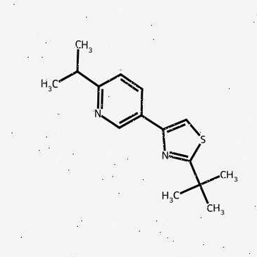 CC(C)c1ccc(-c2csc(C(C)(C)C)n2)cn1